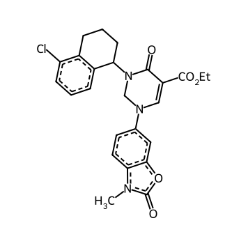 CCOC(=O)C1=CN(c2ccc3c(c2)oc(=O)n3C)CN(C2CCCc3c(Cl)cccc32)C1=O